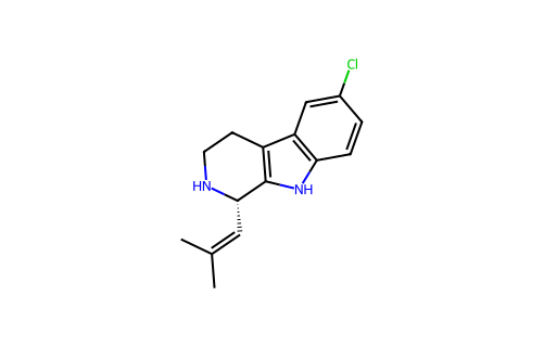 CC(C)=C[C@@H]1NCCc2c1[nH]c1ccc(Cl)cc21